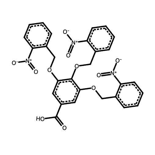 O=C(O)c1cc(OCc2ccccc2[N+](=O)[O-])c(OCc2ccccc2[N+](=O)[O-])c(OCc2ccccc2[N+](=O)[O-])c1